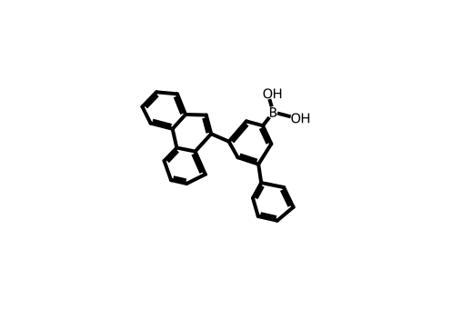 OB(O)c1cc(-c2ccccc2)cc(-c2cc3ccccc3c3ccccc23)c1